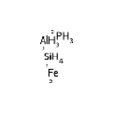 P.[AlH3].[Fe].[SiH4]